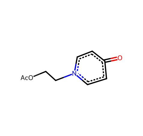 CC(=O)OCCn1ccc(=O)cc1